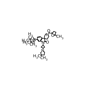 C[C@@H]1CC[C@H](C(=O)N2CCC3(CC2)C(=O)N(C2CC(N4CCC(C)(C)C4)C2)c2cc(B4OC(C)(C)C(C)(C)O4)ccc23)O1